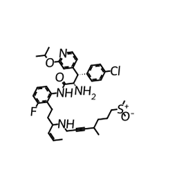 C/C=C\C(CCc1c(F)cccc1NC(=O)[C@@H](N)[C@@H](c1ccc(Cl)cc1)c1ccnc(OC(C)C)c1)NCC#CC(C)CCC[S+](C)[O-]